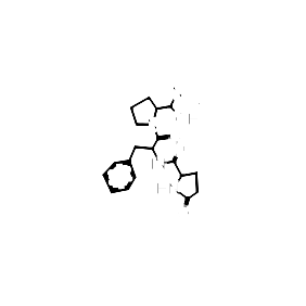 NC(O)C1CCCN1C(=O)C(Cc1ccccc1)NC(=O)C1CCC(=O)N1